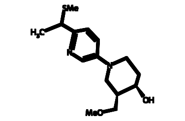 COC[C@H]1CN(c2ccc(C(C)SC)nc2)CC[C@H]1O